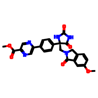 COC(=O)c1cnc(-c2ccc([C@]3(CN4Cc5ccc(OC)cc5C4=O)NC(=O)NC3=O)cc2)cn1